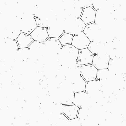 CC(C)CC(NC(=O)OCc1ccccc1)C(=O)NC(CCc1ccccc1)C(O)c1nc(C(=O)NC(C)c2ccccc2)co1